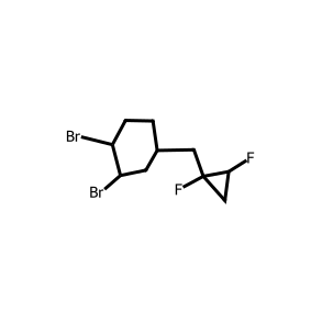 FC1CC1(F)CC1CCC(Br)C(Br)C1